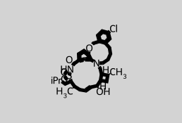 CC(C)CC1[C@H](C)C/C=C/[C@H](O)[C@@H]2C[C@@H](C)[C@H]2CN2CCCCc3cc(Cl)ccc3COc3ccc(cc32)C(=O)NS1(=O)=O